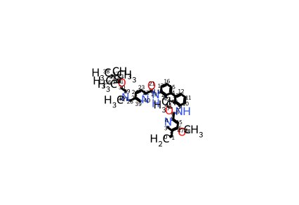 C=Cc1cnc(C(=O)Nc2cccc(-c3cccc(NC(=O)c4ccc(CN(C)CCO[Si](C)(C)C(C)(C)C)cn4)c3C)c2C)cc1OC